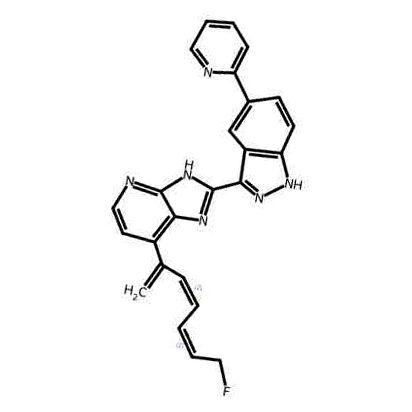 C=C(/C=C\C=C/CF)c1ccnc2[nH]c(-c3n[nH]c4ccc(-c5ccccn5)cc34)nc12